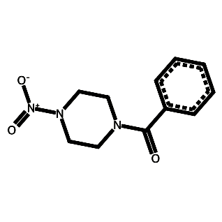 O=C(c1ccccc1)N1CCN([N+](=O)[O-])CC1